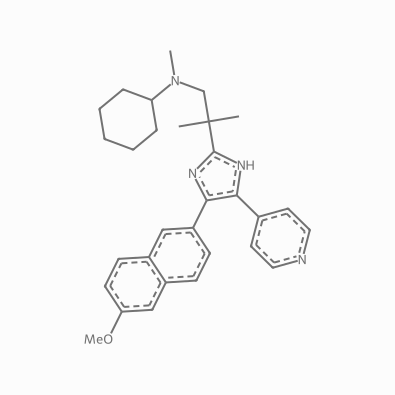 COc1ccc2cc(-c3nc(C(C)(C)CN(C)C4CCCCC4)[nH]c3-c3ccncc3)ccc2c1